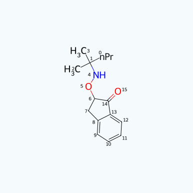 CCCC(C)(C)NOC1Cc2ccccc2C1=O